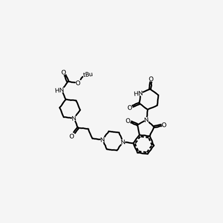 CC(C)(C)OC(=O)NC1CCN(C(=O)CCN2CCN(c3cccc4c3C(=O)N(C3CCC(=O)NC3=O)C4=O)CC2)CC1